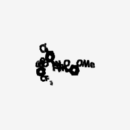 COc1cccc(CC(=O)NN=Cc2ccc(Cl)cc2OS(=O)(=O)c2ccc(C(F)(F)F)cc2)c1